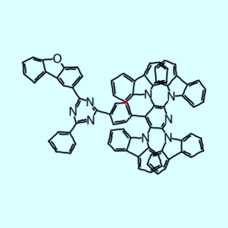 c1ccc(-c2nc(-c3ccc(-c4c(-n5c6ccccc6c6ccccc65)c(-n5c6ccccc6c6ccccc65)nc(-n5c6ccccc6c6ccccc65)c4-n4c5ccccc5c5ccccc54)cc3)nc(-c3ccc4oc5ccccc5c4c3)n2)cc1